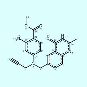 C#CCN(Cc1ccc2nc(C)[nH]c(=O)c2c1)c1ccc(C(=O)OC)c(N)c1